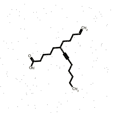 C=CCCCC(C#CCCCCC)CCCCC(=O)O